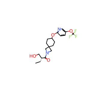 CC[C@H](CO)C(=O)N1CC2(CCC(Oc3ccc(OC(F)(F)F)cn3)CC2)C1